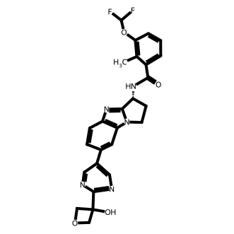 Cc1c(OC(F)F)cccc1C(=O)N[C@@H]1CCn2c1nc1ccc(-c3cnc(C4(O)COC4)nc3)cc12